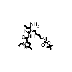 CCn1nc(C)cc1C(=O)Nc1nc(C)c(N)n1CCCCNC(=O)OC(C)(C)C